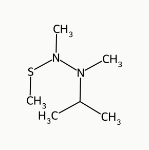 CSN(C)N(C)C(C)C